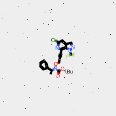 CC(c1ccccc1)N(OCC#Cc1nc(Cl)cc2cnn(C(F)F)c12)C(=O)OC(C)(C)C